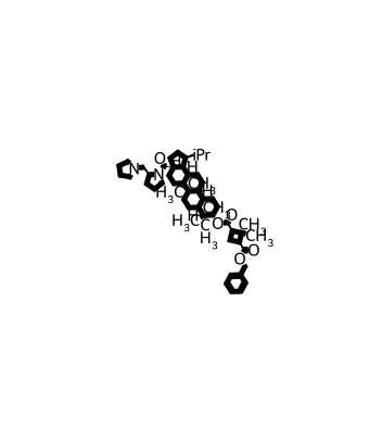 CC(C)[C@@H]1CC[C@]2(C(=O)N3CCC[C@H]3CN3CCCC3)CC[C@]3(C)[C@H](CC[C@@H]4[C@@]5(C)CC[C@H](OC(=O)[C@@H]6C[C@H](C(=O)OCc7ccccc7)C6(C)C)C(C)(C)[C@@H]5CC[C@]43C)[C@@H]12